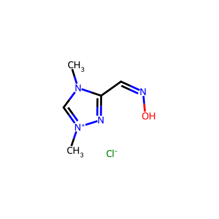 Cn1c[n+](C)nc1/C=N\O.[Cl-]